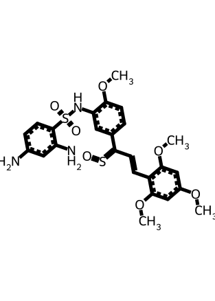 COc1cc(OC)c(C=CC(=S=O)c2ccc(OC)c(NS(=O)(=O)c3ccc(N)cc3N)c2)c(OC)c1